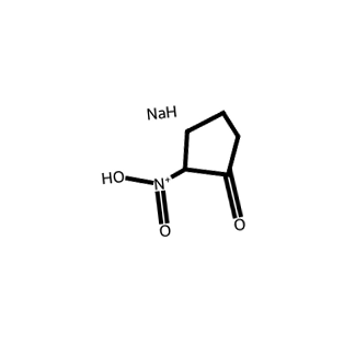 O=C1CCCC1[N+](=O)O.[NaH]